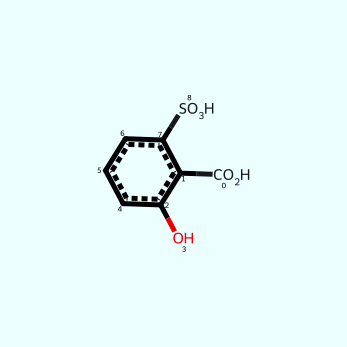 O=C(O)c1c(O)cccc1S(=O)(=O)O